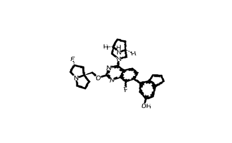 Oc1cc2c(c(-c3ccc4c(N5C[C@H]6CC[C@@H](C5)N6)nc(OC[C@@]56CCCN5C[C@H](F)C6)nc4c3F)c1)C=CC2